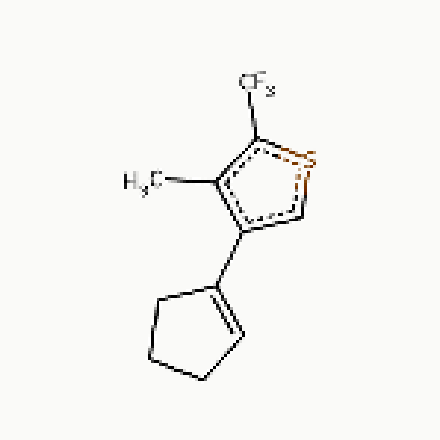 Cc1c(C2=CCCC2)csc1C(F)(F)F